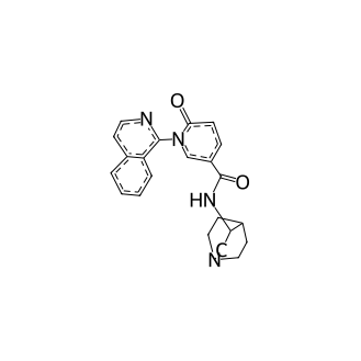 O=C(NC1CN2CCC1CC2)c1ccc(=O)n(-c2nccc3ccccc23)c1